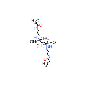 C=CC(=O)NCCCNC(C=O)(C=O)CCC(C=O)(C=O)NCCCNC(=O)C=C